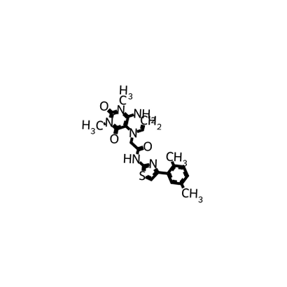 C=CN(CC(=O)Nc1nc(-c2cc(C)ccc2C)cs1)c1c(N)n(C)c(=O)n(C)c1=O